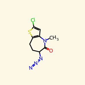 CN1C(=O)C(N=[N+]=[N-])CCc2sc(Cl)cc21